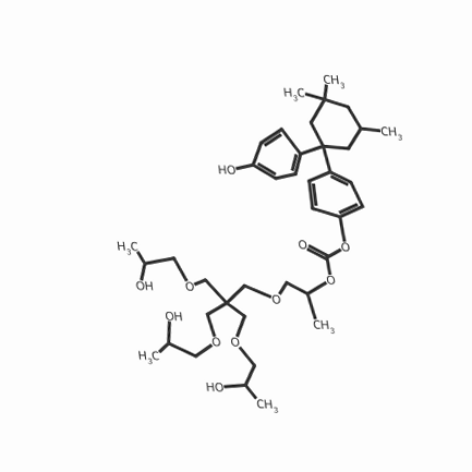 CC(O)COCC(COCC(C)O)(COCC(C)O)COCC(C)OC(=O)Oc1ccc(C2(c3ccc(O)cc3)CC(C)CC(C)(C)C2)cc1